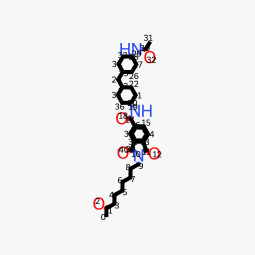 CC(=O)CCCCCCCN1C(=O)c2ccc(C(=O)NC3CCC(CC4CCC(NC(C)=O)CC4)CC3)cc2C1=O